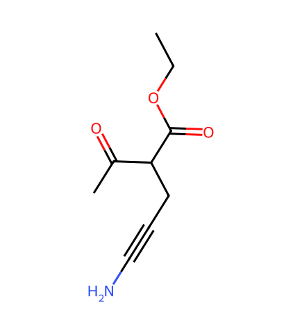 CCOC(=O)C(CC#CN)C(C)=O